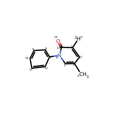 [2H]c1cc(C)cn(-c2ccccc2)c1=O